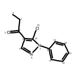 CCC(=O)c1cnn(-c2ccccc2)c1Cl